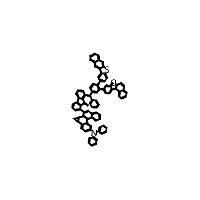 C=C1c2c(cccc2-c2cc3ccccc3c3c2C2CC2c2ccc(N(c4ccccc4)c4ccccc4)cc2-3)-c2cccc(C(c3ccccc3)c3ccc(-c4ccc5sc6cc7ccccc7cc6c5c4)c(-c4ccc5c(c4)oc4ccc6ccccc6c45)c3)c21